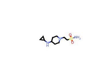 NS(=O)(=O)CCN1CCC(NC2CC2)CC1